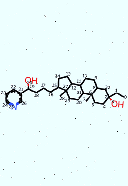 CC[C@]1(O)CC[C@@]2(C)C(CCC3C4CCC(CCCC(O)c5cccnc5)C4(C)CCC32)C1